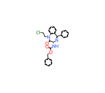 O=C(N[C@H]1N=C(c2ccccc2)c2ccccc2N(CCCl)C1=O)OCc1ccccc1